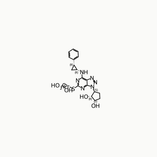 CCCSc1nc(N[C@@H]2C[C@@H]2c2ccccc2)c2nnn([C@H]3CC[C@H](O)[C@@H]3O)c2n1.O=C(O)O